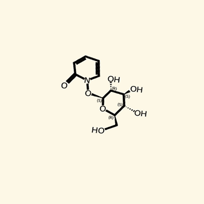 O=c1ccccn1O[C@@H]1O[C@H](CO)[C@@H](O)[C@H](O)[C@H]1O